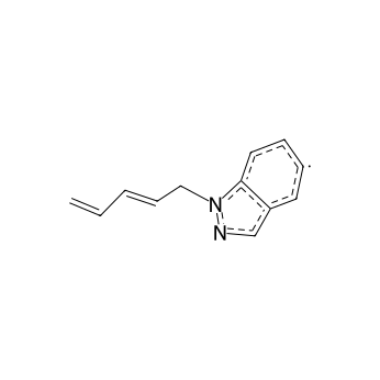 C=CC=CCn1ncc2c[c]ccc21